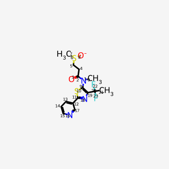 CN(C(=O)CC[S+](C)[O-])c1sc(-c2cccnc2)nc1C(C)(F)F